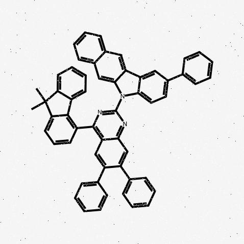 CC1(C)c2ccccc2-c2c(-c3nc(-n4c5ccc(-c6ccccc6)cc5c5cc6ccccc6cc54)nc4cc(-c5ccccc5)c(-c5ccccc5)cc34)cccc21